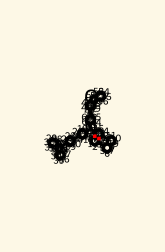 c1ccc(-c2cccc3cccc(-c4ccc(N(c5ccc(-c6ccc(-n7c8ccccc8c8ccccc87)cc6)cc5)c5ccc(-c6ccc7oc8ccccc8c7c6)cc5)cc4)c23)cc1